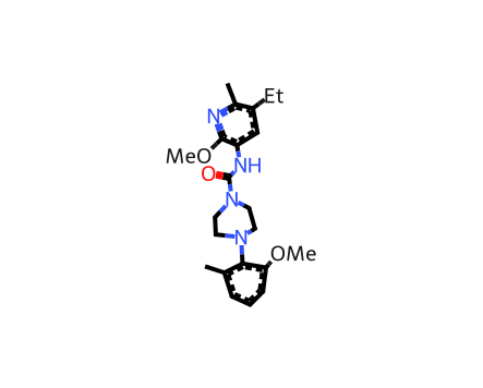 CCc1cc(NC(=O)N2CCN(c3c(C)cccc3OC)CC2)c(OC)nc1C